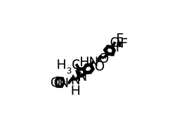 Cc1cc(NCCN2CCOCC2)nc2ccc(NC(=O)COc3ccc(OC(F)(F)F)cc3)cc12